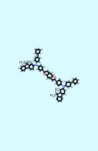 CC1(C)c2ccccc2-c2ccc(N(c3ccc(-c4ccccc4)cc3)c3ccc(-c4cc5cc6oc(-c7ccc(N(c8ccc(-c9ccccc9)cc8)c8ccc9c(c8)C(C)(C)c8ccccc8-9)cc7)cc6cc5o4)cc3)cc21